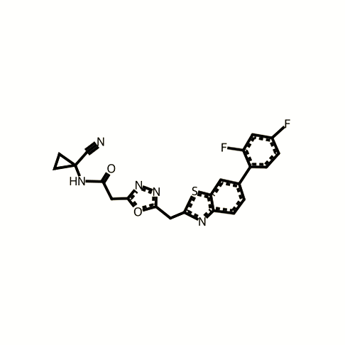 N#CC1(NC(=O)Cc2nnc(Cc3nc4ccc(-c5ccc(F)cc5F)cc4s3)o2)CC1